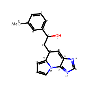 COc1cccc(C(O)CC2C=C3N=CN=C3n3cccc32)c1